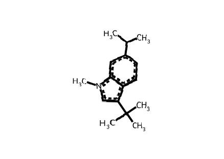 CC(C)c1ccc2c(C(C)(C)C)cn(C)c2c1